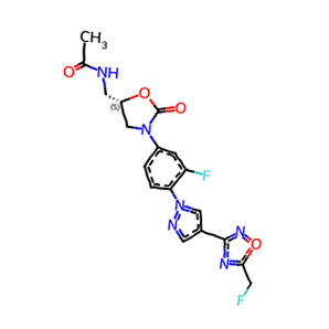 CC(=O)NC[C@H]1CN(c2ccc(-n3cc(-c4noc(CF)n4)cn3)c(F)c2)C(=O)O1